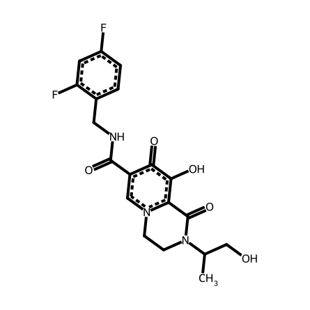 CC(CO)N1CCn2cc(C(=O)NCc3ccc(F)cc3F)c(=O)c(O)c2C1=O